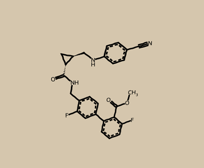 COC(=O)c1c(F)cccc1-c1ccc(CNC(=O)[C@@H]2C[C@H]2CNc2ccc(C#N)cc2)c(F)c1